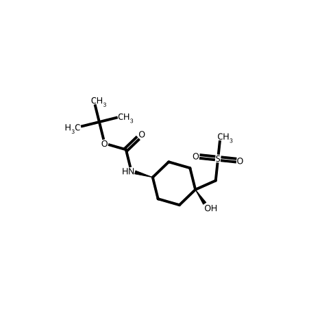 CC(C)(C)OC(=O)N[C@H]1CC[C@](O)(CS(C)(=O)=O)CC1